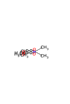 CCCCCCCC(CCCCCCC)N1C(=O)c2ccc3c4cccc5c(B6OC(C)(C)C(C)(C)O6)ccc(c6ccc(c2c36)C1=O)c54